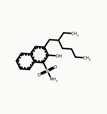 CCCCC(CC)Cc1cc2ccccc2c(S(N)(=O)=O)c1O